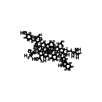 CNC(=N)NCCC[C@H](CC(=O)[C@H](CC(C)C)NC(=O)NCC(=O)[C@H](Cc1ccccc1)NC(=O)[C@@H](CC(=O)[C@H](CNC(N)=O)NC(=O)[C@H](CC(=O)[C@@H](Cc1ccc(O)cc1)NC(C)=O)Cc1c[nH]c2ccccc12)[C@@H](C)O)C(=O)N[C@@H](Cc1c[nH]c2ccccc12)C(N)=O